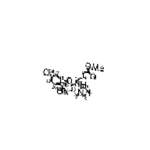 COC(=O)CCCNC(=O)[C@H](Cn1ccnc1)NS(=O)(=O)c1ccc(Cl)cc1